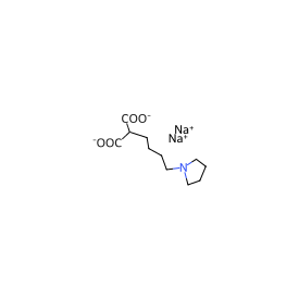 O=C([O-])C(CCCCN1CCCC1)C(=O)[O-].[Na+].[Na+]